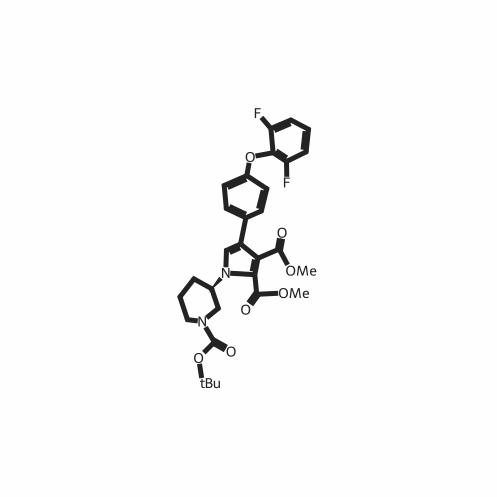 COC(=O)c1c(-c2ccc(Oc3c(F)cccc3F)cc2)cn([C@@H]2CCCN(C(=O)OC(C)(C)C)C2)c1C(=O)OC